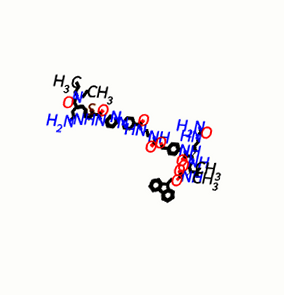 CCCN(CCC)C(=O)C1=Cc2sc(C(=O)Nc3ccc(N4CCC(C(=O)NCCNC(=O)OCc5ccc(NC(=O)[C@H](CCCNC(N)=O)NC(=O)[C@@H](NC(=O)OCC6c7ccccc7-c7ccccc76)C(C)C)cc5)CC4)nc3)cc2N=C(N)C1